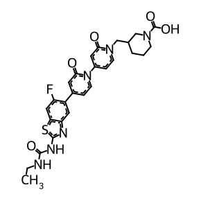 CCNC(=O)Nc1nc2cc(-c3ccn(-c4ccn(CC5CCCN(C(=O)O)C5)c(=O)c4)c(=O)c3)c(F)cc2s1